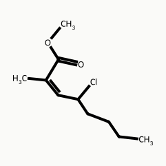 CCCCC(Cl)C=C(C)C(=O)OC